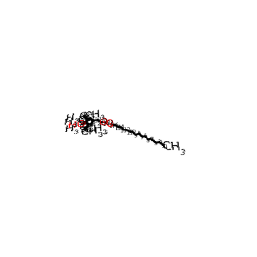 CCCCCCCCCCCCCCCCCCOCOCCc1cc(C(C)(C)C)c(O)c(C(C)(C)C)c1